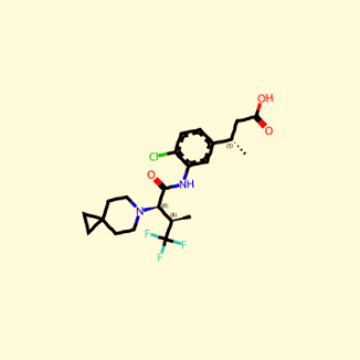 C[C@H]([C@H](C(=O)Nc1cc([C@@H](C)CC(=O)O)ccc1Cl)N1CCC2(CC1)CC2)C(F)(F)F